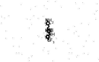 Cl.Cl.NC1CCC(CCN2CCC(Nc3cccc(C(F)(F)F)c3)CC2)CC1